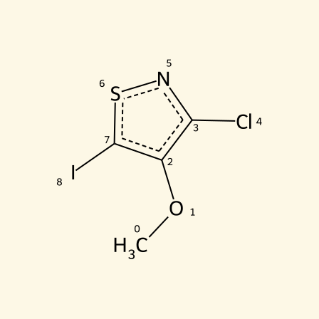 COc1c(Cl)nsc1I